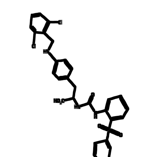 O=C(Nc1ccccc1S(=O)(=O)c1ccccc1)NC(Cc1ccc(NCc2c(Cl)cccc2Cl)cc1)C(=O)O